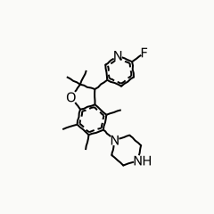 Cc1c(C)c(N2CCNCC2)c(C)c2c1OC(C)(C)C2c1ccc(F)nc1